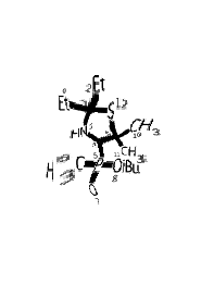 CCC1(CC)NC(P(C)(=O)OCC(C)C)C(C)(C)S1